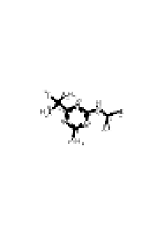 CCC(CC)Nc1nc(N)nc(C(C)(C)F)n1